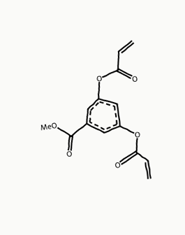 C=CC(=O)Oc1cc(OC(=O)C=C)cc(C(=O)OC)c1